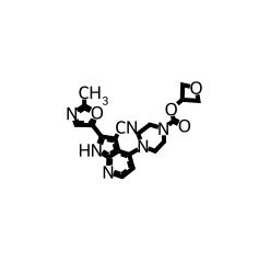 Cc1ncc(-c2[nH]c3nccc(N4CCN(C(=O)OC5COC5)CC4)c3c2C#N)o1